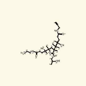 C#CCNC(=O)CCC(C)(C#N)C(C)(C)C(C)(CC(C)(C)C(C)(C#N)CCC(=O)NCCN)C(=O)NCC(C)O